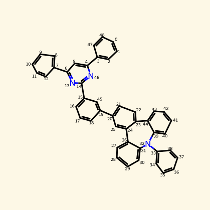 c1ccc(-c2cc(-c3ccccc3)nc(-c3cccc(-c4ccc5c(c4)-c4ccccc4N(c4ccccc4)c4ccccc4-5)c3)n2)cc1